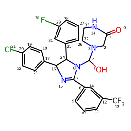 O=C1CN(C(O)N2C(c3cccc(C(F)(F)F)c3)=NC(c3ccc(Cl)cc3)C2c2cccc(F)c2)CCN1